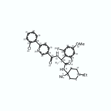 CCN1CCC(C#N)(NC(=O)[C@@](C)(NC(=O)c2ccc(-c3ccccc3Cl)nc2)c2c(F)cc(OC)cc2F)CC1